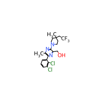 Cc1nc(N2CCC(C)(CC(F)(F)F)CC2)c(CO)nc1-c1cccc(Cl)c1Cl